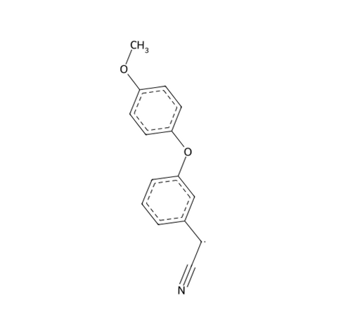 COc1ccc(Oc2cccc([CH]C#N)c2)cc1